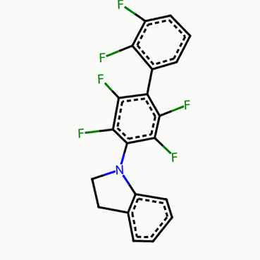 Fc1cccc(-c2c(F)c(F)c(N3CCc4ccccc43)c(F)c2F)c1F